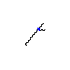 [CH2]CCCCCCCCCCCN(CCCC)CCCC